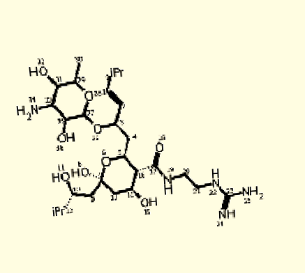 CC(C)/C=C/[C@@H](C[C@@H]1O[C@](O)(C[C@@H](O)C(C)C)C[C@H](O)[C@H]1C(=O)NCCNC(=N)N)OC1OC(C)C(O)C(N)C1O